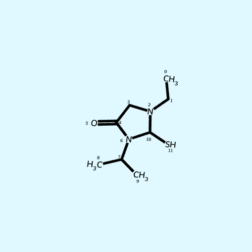 CCN1CC(=O)N(C(C)C)C1S